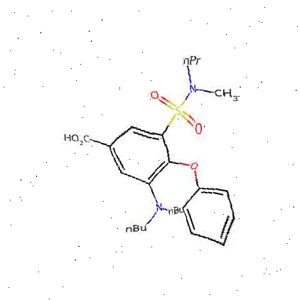 CCCCN(CCCC)c1cc(C(=O)O)cc(S(=O)(=O)N(C)CCC)c1Oc1ccccc1